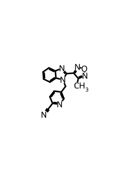 Cc1nonc1-c1nc2ccccc2n1Cc1ccc(C#N)nc1